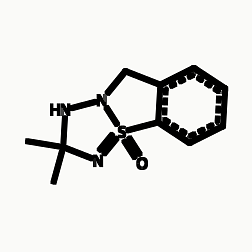 CC1(C)N=S2(=O)c3ccccc3CN2N1